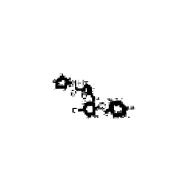 O=C(Nc1ccccc1)c1ccc(Cc2cc(Cl)ccc2OCc2ccccc2)o1